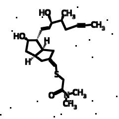 CC#CC[C@H](C)[C@H](O)C=C[C@@H]1[C@H]2CC(=CSCC(=O)N(C)C)C[C@H]2C[C@H]1O